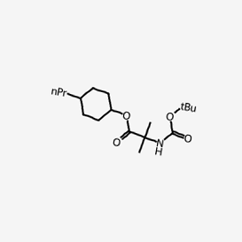 CCCC1CCC(OC(=O)C(C)(C)NC(=O)OC(C)(C)C)CC1